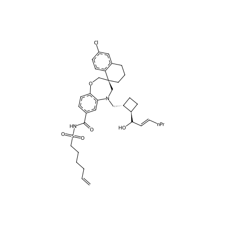 C=CCCCCS(=O)(=O)NC(=O)c1ccc2c(c1)N(C[C@@H]1CC[C@H]1C(O)/C=C/CCC)C[C@@]1(CCCc3cc(Cl)ccc31)CO2